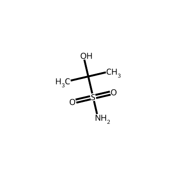 CC(C)(O)S(N)(=O)=O